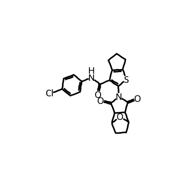 O=C(Nc1ccc(Cl)cc1)c1c(N2C(=O)C3C4CCC(O4)C3C2=O)sc2c1CCC2